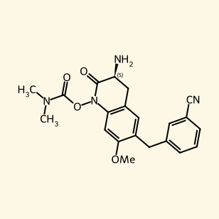 COc1cc2c(cc1Cc1cccc(C#N)c1)C[C@H](N)C(=O)N2OC(=O)N(C)C